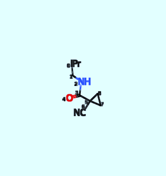 CC(C)CNC(=O)C1(C#N)CC1